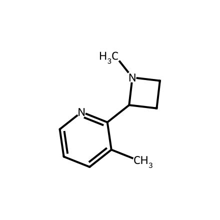 Cc1cccnc1C1CCN1C